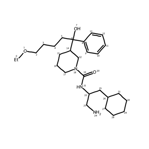 CCOCCCCC(O)(c1ccccc1)C1CCCN(C(=O)NC(CN)CC2CCCCC2)C1